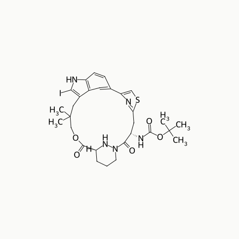 CC1(C)COC(=O)[C@@H]2CCCN(N2)C(=O)[C@@H](NC(=O)OC(C)(C)C)Cc2nc(cs2)-c2ccc3[nH]c(I)c(c3c2)C1